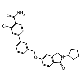 NC(=O)c1ccc(-c2cccc(COc3ccc4c(c3)CN(C3CCCC3)C4=O)c2)cc1Cl